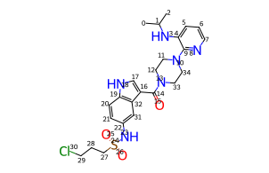 CC(C)Nc1cccnc1N1CCN(C(=O)c2c[nH]c3ccc(NS(=O)(=O)CCCCl)cc23)CC1